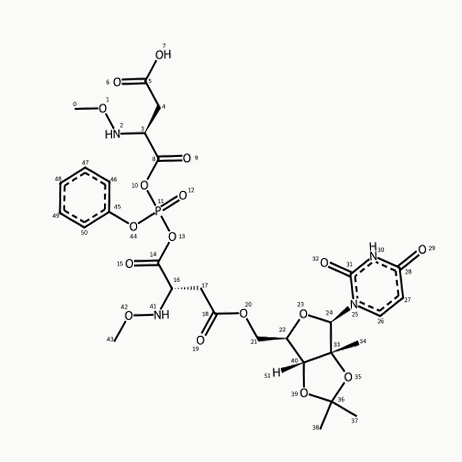 CON[C@@H](CC(=O)O)C(=O)OP(=O)(OC(=O)[C@H](CC(=O)OC[C@H]1O[C@@H](n2ccc(=O)[nH]c2=O)[C@]2(C)OC(C)(C)O[C@H]12)NOC)Oc1ccccc1